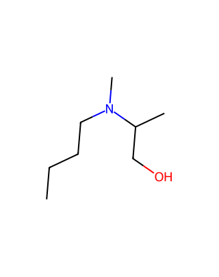 CCCCN(C)C(C)CO